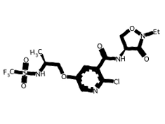 CCN1OC[C@H](NC(=O)c2cc(OC[C@H](C)NS(=O)(=O)C(F)(F)F)cnc2Cl)C1=O